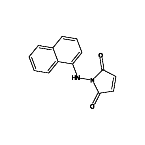 O=C1C=CC(=O)N1Nc1cccc2ccccc12